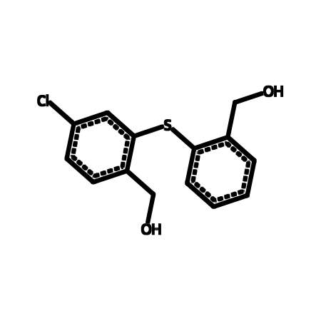 OCc1ccccc1Sc1cc(Cl)ccc1CO